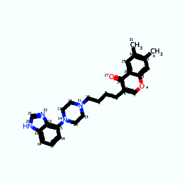 Cc1cc2occ(CCCCN3CCN(c4cccc5[nH]cnc45)CC3)c(=O)c2cc1C